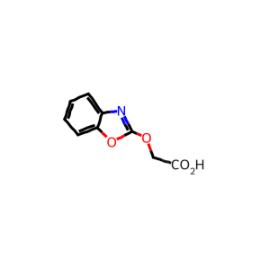 O=C(O)COc1nc2ccccc2o1